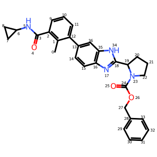 Cc1c(C(=O)NC2CC2)cccc1-c1ccc2nc(C3CCCN3C(=O)OCc3ccccc3)[nH]c2c1